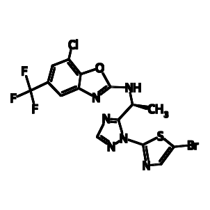 C[C@H](Nc1nc2cc(C(F)(F)F)cc(Cl)c2o1)c1ncnn1-c1ncc(Br)s1